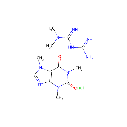 CN(C)C(=N)NC(=N)N.Cl.Cn1c(=O)c2c(ncn2C)n(C)c1=O